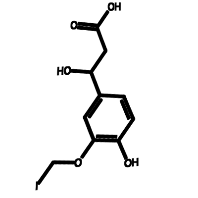 O=C(O)CC(O)c1ccc(O)c(OCI)c1